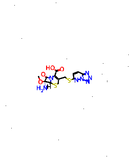 CO[C@@]1(N)C(=O)N2C(C(=O)O)=C(CSc3ccc4nnnn4n3)CS[C@@H]21